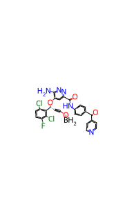 BOC#C[C@@H](Oc1cc(C(=O)Nc2ccc(C(=O)c3ccncc3)cc2)nnc1N)c1c(Cl)ccc(F)c1Cl